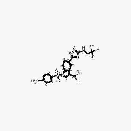 Cc1ccc(S(=O)(=O)n2cc(B(O)O)c3cc(-c4nnc(NCC(F)(F)F)o4)ccc32)cc1